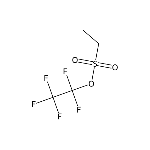 CCS(=O)(=O)OC(F)(F)C(F)(F)F